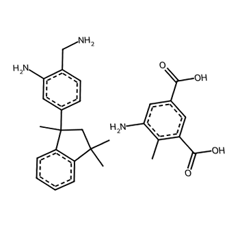 CC1(C)CC(C)(c2ccc(CN)c(N)c2)c2ccccc21.Cc1c(N)cc(C(=O)O)cc1C(=O)O